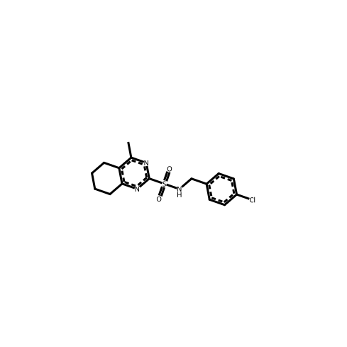 Cc1nc(S(=O)(=O)NCc2ccc(Cl)cc2)nc2c1CCCC2